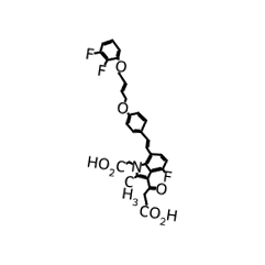 Cc1c(C(=O)CCC(=O)O)c2c(F)ccc(/C=C/c3ccc(OC/C=C/COc4cccc(F)c4F)cc3)c2n1CC(=O)O